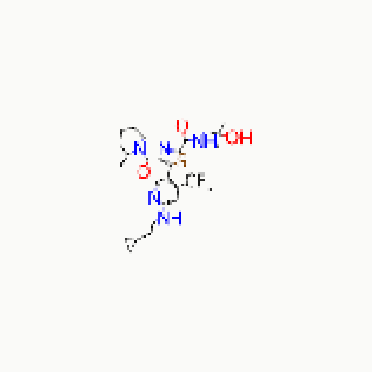 C[C@H]1CCCCN1C(=O)c1nc(C(=O)NCC(C)(C)O)sc1-c1cnc(NCCC2CC2)cc1C(F)(F)F